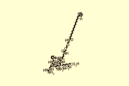 CC(=O)N1CCC[C@@H]1C(=O)N[C@@H](CCCNC(=N)N)C(=O)N[C@@H](CC(=O)O)C(=O)N[C@@H](CCCCN(CC(=O)O)CC(=O)O)C(=O)N[C@@H](CCCCNC(=O)COCCOCCNC(=O)CCCCCCCCCCCCCCCc1nnn[nH]1)C(N)=O